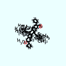 COc1cc2cc3c(C#C[Si](C(C)C)(C(C)C)C(C)C)c4cc5cc(-c6ccccc6)c(C=O)cc5cc4c(C#C[Si](C(C)C)(C(C)C)C(C)C)c3cc2cc1-c1ccccc1